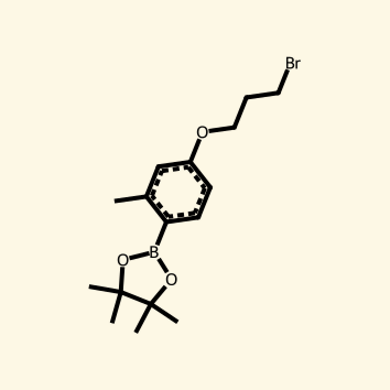 Cc1cc(OCCCBr)ccc1B1OC(C)(C)C(C)(C)O1